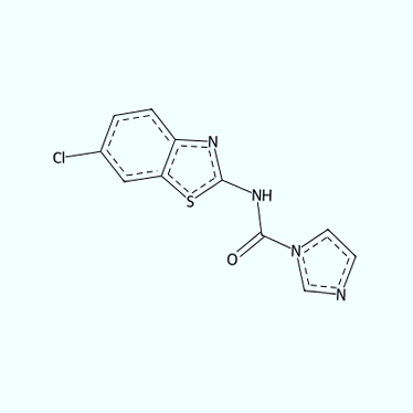 O=C(Nc1nc2ccc(Cl)cc2s1)n1ccnc1